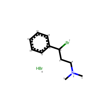 Br.CN(C)CCC(Br)c1ccccc1